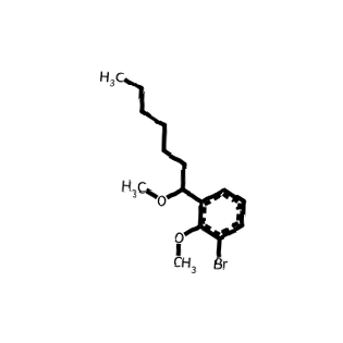 CCCCCCC(OC)c1cccc(Br)c1OC